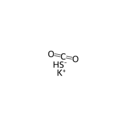 O=C=O.[K+].[SH-]